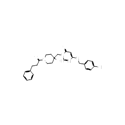 O=C(CCc1ccccc1)N1CCC(O)(Cn2cnc(NCc3ccc(Cl)cc3)cc2=O)CC1